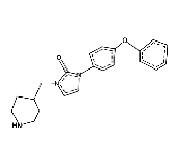 O=c1n(CC2CCNCC2)ccn1-c1ccc(Oc2ccccc2)cc1